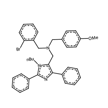 CCCCn1c(-c2ccccc2)nc(-c2ccccc2)c1CN(Cc1ccc(OC)cc1)Cc1ccccc1Br